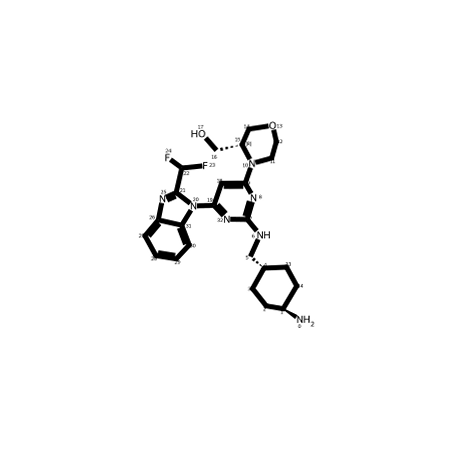 N[C@H]1CC[C@H](CNc2nc(N3CCOC[C@H]3CO)cc(-n3c(C(F)F)nc4ccccc43)n2)CC1